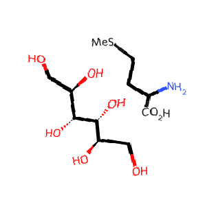 CSCCC(N)C(=O)O.OC[C@@H](O)[C@@H](O)[C@H](O)[C@H](O)CO